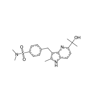 Cc1[nH]c2ccc(C(C)(C)O)nc2c1Cc1ccc(S(=O)(=O)N(C)C)cc1